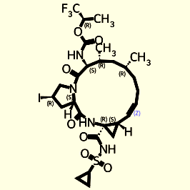 C[C@@H]1CC/C=C\[C@@H]2C[C@@]2(C(=O)NS(=O)(=O)C2CC2)NC(=O)[C@@H]2C[C@@H](I)CN2C(=O)[C@@H](NC(=O)O[C@H](C)C(F)(F)F)[C@H](C)C1